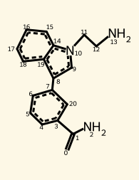 C=C(N)c1cccc(-c2cn(CCN)c3ccccc23)c1